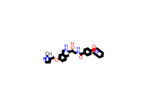 Cn1nccc1COc1ccc2c(c1)CN[C@H]([C@H](O)CNC(=O)c1ccc(C(=O)N3C4CCCC3COC4)cc1)C2